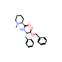 CN1CCCC[C@H]1C(=O)N[C@@H](Cc1ccccc1)C(=O)OCc1ccccc1